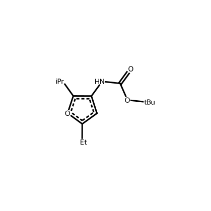 CCc1cc(NC(=O)OC(C)(C)C)c(C(C)C)o1